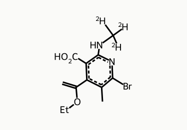 [2H]C([2H])([2H])Nc1nc(Br)c(C)c(C(=C)OCC)c1C(=O)O